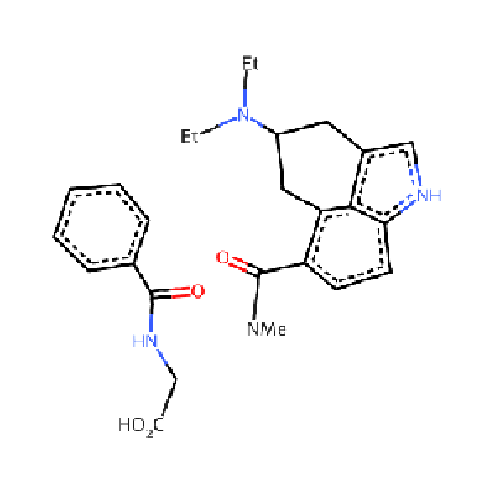 CCN(CC)C1Cc2c[nH]c3ccc(C(=O)NC)c(c23)C1.O=C(O)CNC(=O)c1ccccc1